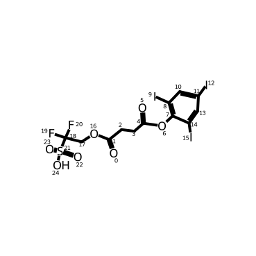 O=C(CCC(=O)Oc1c(I)cc(I)cc1I)OCC(F)(F)S(=O)(=O)O